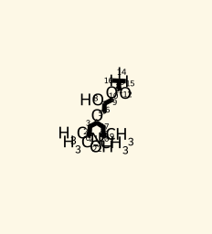 CC1(C)CC(OCC(O)COC(=O)C(I)(I)I)CC(C)(C)N1O